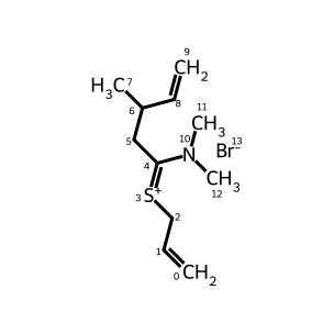 C=CC[S+]=C(CC(C)C=C)N(C)C.[Br-]